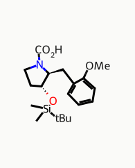 COc1ccccc1C[C@H]1[C@H](O[Si](C)(C)C(C)(C)C)CCN1C(=O)O